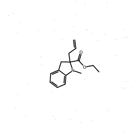 C=CCC1(C(=O)OCC)Cc2ccccc2N1C